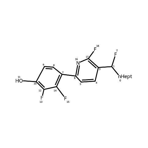 CCCCCCCC(F)c1ccc(-c2ccc(O)c(F)c2F)nc1F